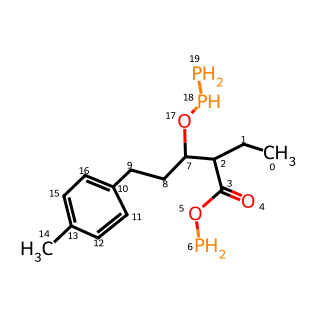 CCC(C(=O)OP)C(CCc1ccc(C)cc1)OPP